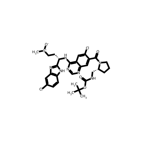 C[S+]([O-])CC[C@H](Nc1ncnc2cc(C(=O)N3CCC[C@@H]3CNC(=O)OC(C)(C)C)c(Cl)cc12)c1nc2cc(Cl)ccc2[nH]1